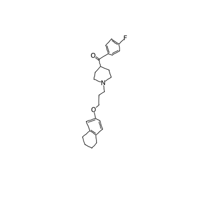 O=C(c1ccc(F)cc1)C1CCN(CCCOc2ccc3c(c2)CCCC3)CC1